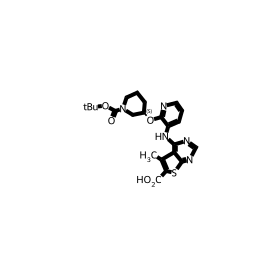 Cc1c(C(=O)O)sc2ncnc(Nc3cccnc3O[C@H]3CCCN(C(=O)OC(C)(C)C)C3)c12